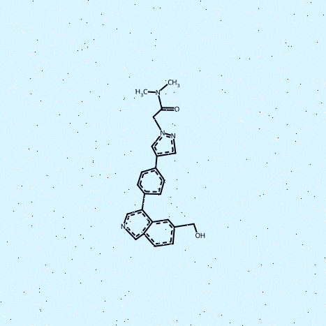 CN(C)C(=O)Cn1cc(-c2ccc(-c3cncc4ccc(CO)cc34)cc2)cn1